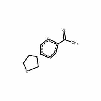 C1CCOC1.CC(=O)c1ccccn1